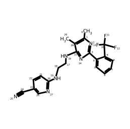 Cc1nc(-c2ccccc2C(F)(F)F)nc(NCCNc2ccc(C#N)cn2)c1C